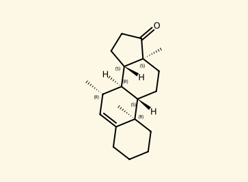 C[C@H]1C=C2CCCC[C@]2(C)[C@H]2CC[C@]3(C)C(=O)CC[C@H]3[C@H]12